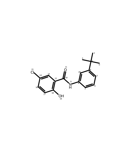 CC(C)(C)c1cccc(NC(=O)c2cc(Cl)ccc2O)c1